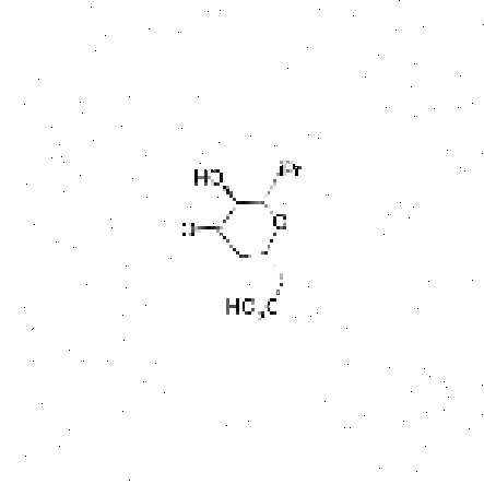 CC(C)[C@@H]1O[C@H](CC(=O)O)CC(=O)[C@H]1O